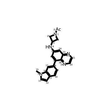 CC(=O)N1CC(Nc2cc(-c3ccc4ccn(C)c4c3)c3nccnc3c2)C1